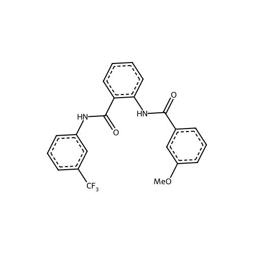 COc1cccc(C(=O)Nc2ccccc2C(=O)Nc2cccc(C(F)(F)F)c2)c1